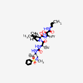 C=CCNC(=O)C(=O)C(CCC)NC(=O)[C@@H]1[C@@H]2[C@H](CN1C(=O)[C@@H](NC(=O)N[C@H](CN(C)S(=O)(=O)c1ccccc1)[C@@H](C)CC)C(C)(C)C)C2(C)C